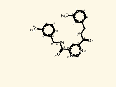 Cc1cccc(CNC(=O)c2cc(C(=O)NCc3cccc(C)c3)ncn2)c1